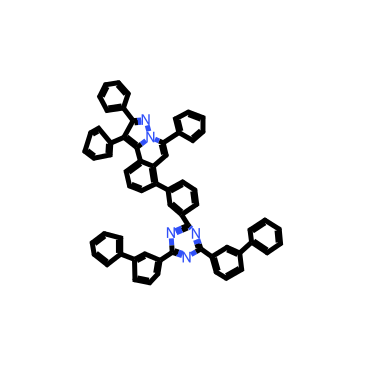 c1ccc(-c2cccc(-c3nc(-c4cccc(-c5ccccc5)c4)nc(-c4cccc(-c5cccc6c5cc(-c5ccccc5)n5nc(-c7ccccc7)c(-c7ccccc7)c65)c4)n3)c2)cc1